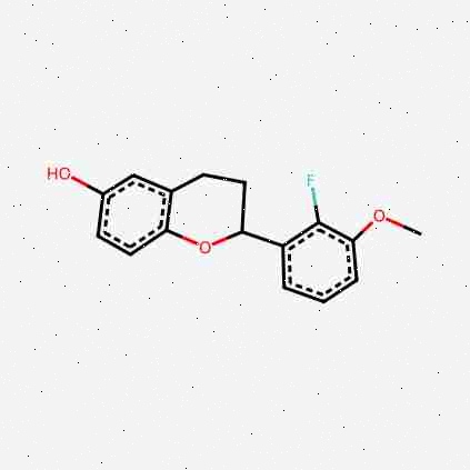 COc1cccc(C2CCc3cc(O)ccc3O2)c1F